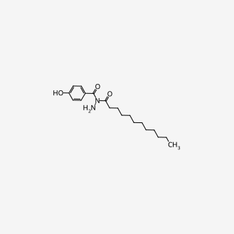 CCCCCCCCCCCC(=O)N(N)C(=O)c1ccc(O)cc1